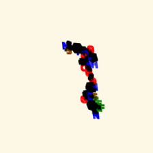 Cc1ncsc1-c1ccc(CNC(=O)[C@@H]2CCCN2C(=O)C(NC(=O)COCCOc2ccc(N3C(=S)N(c4ccc(C#N)c(C(F)(F)F)c4F)C(=O)C3(C)C)cn2)C(C)(C)C)cc1